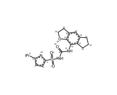 CC(C)n1ccc(S(=O)(=O)NC(=O)Nc2c3c(cc4c2OCC4)CCC3)n1